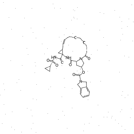 O=C1NC2(C(=O)NS(=O)(=O)C3CC3)CC2C=CCCCCCCC(=O)N2CC(OC(=O)N3Cc4ccccc4C3)CC12